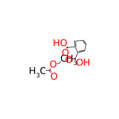 CCOC(C)=O.O=C(O)c1ccccc1C(=O)O